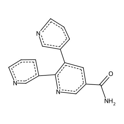 NC(=O)c1cnc(-c2cccnc2)c(-c2cccnc2)c1